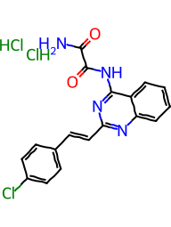 Cl.Cl.NC(=O)C(=O)Nc1nc(C=Cc2ccc(Cl)cc2)nc2ccccc12